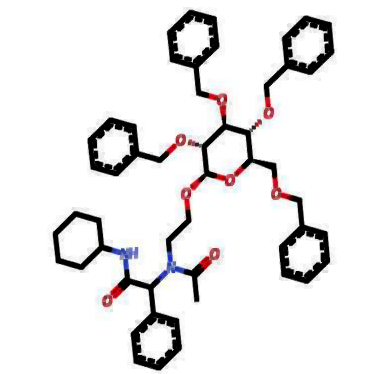 CC(=O)N(CCO[C@@H]1O[C@H](COCc2ccccc2)[C@@H](OCc2ccccc2)[C@H](OCc2ccccc2)[C@H]1OCc1ccccc1)C(C(=O)NC1CCCCC1)c1ccccc1